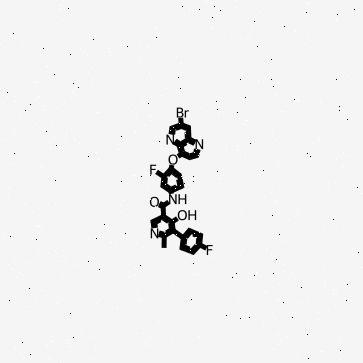 Cc1ncc(C(=O)Nc2ccc(Oc3ccnc4cc(Br)cnc34)c(F)c2)c(O)c1-c1ccc(F)cc1